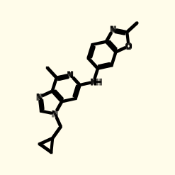 Cc1nc2ccc(Nc3cc4c(ncn4CC4CC4)c(C)n3)cc2o1